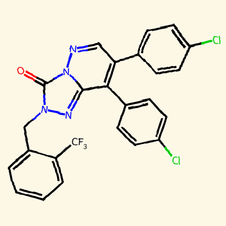 O=c1n(Cc2ccccc2C(F)(F)F)nc2c(-c3ccc(Cl)cc3)c(-c3ccc(Cl)cc3)cnn12